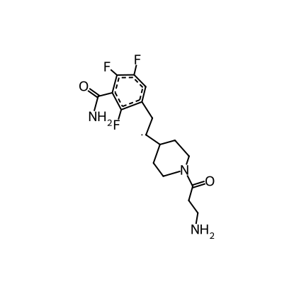 NCCC(=O)N1CCC([CH]Cc2cc(F)c(F)c(C(N)=O)c2F)CC1